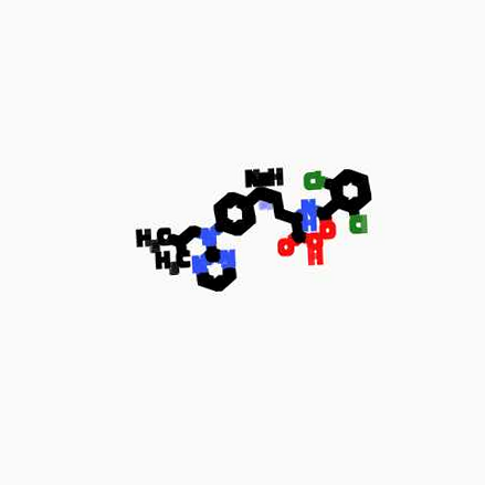 CC(C)CN(c1ccc(/C=C\CC(NC(=O)c2c(Cl)cccc2Cl)C(=O)O)cc1)c1ncccn1.[NaH]